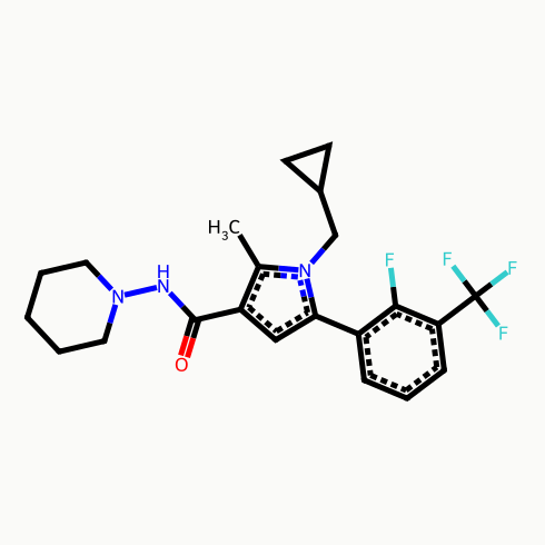 Cc1c(C(=O)NN2CCCCC2)cc(-c2cccc(C(F)(F)F)c2F)n1CC1CC1